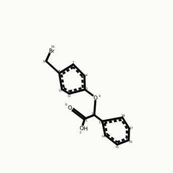 O=C(O)C(Oc1ccc(CBr)cc1)c1ccccc1